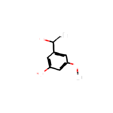 CCOc1cc(OCC)cc(C([O])C(C)C)c1